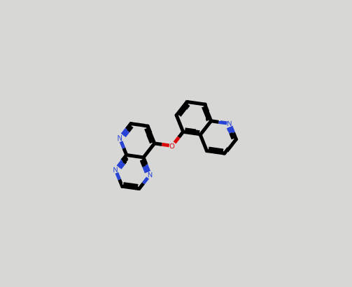 c1cc(Oc2ccnc3nccnc23)c2cccnc2c1